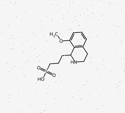 COc1cccc2c1C(CCCS(=O)(=O)O)NCC2